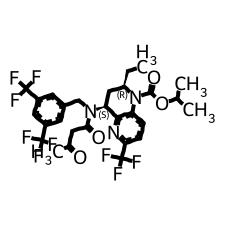 CC[C@@H]1C[C@H](N(Cc2cc(C(F)(F)F)cc(C(F)(F)F)c2)C(=O)CC(C)=O)c2nc(C(F)(F)F)ccc2N1C(=O)OC(C)C